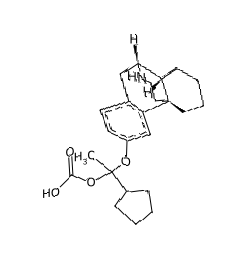 CC(OC(=O)O)(Oc1ccc2c(c1)[C@@]13CCCC[C@H]1[C@@H](C2)NCC3)C1CCCC1